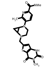 CNC(=O)c1ccc(N2CCN(Cc3cc4[nH]c(=O)n(C)c(=O)c4s3)C3CC32)c(C)n1